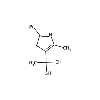 Cc1nc(C(C)C)sc1C(C)(C)S